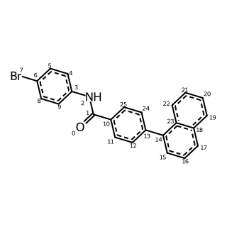 O=C(Nc1ccc(Br)cc1)c1ccc(-c2cccc3ccccc23)cc1